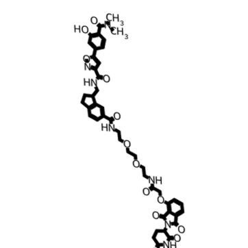 CN(C)C(=O)c1ccc(-c2cc(C(=O)NCC3CCc4ccc(C(=O)NCCOCCOCCNC(=O)COc5cccc6c5C(=O)N(C5CCC(=O)NC5=O)C6=O)cc43)no2)cc1O